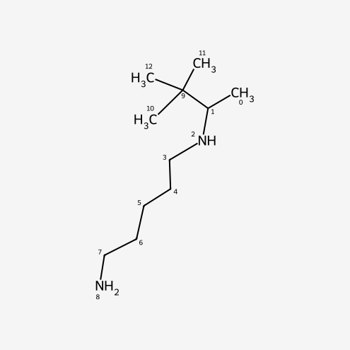 CC(NCCCCCN)C(C)(C)C